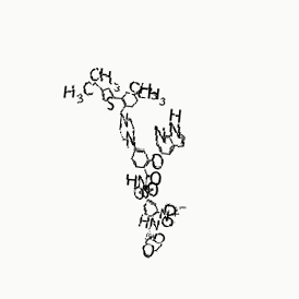 CC(C)c1csc(C2=C(CN3CCN(c4ccc(C(=O)NS(=O)(=O)c5ccc(NC[C@H]6COCCO6)c([N+](=O)[O-])c5)c(Oc5cnc6[nH]ccc6c5)c4)CC3)CCC(C)(C)C2)c1